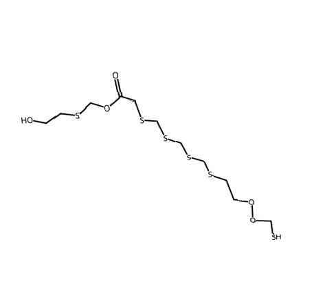 O=C(CSCSCSCSCCOOCS)OCSCCO